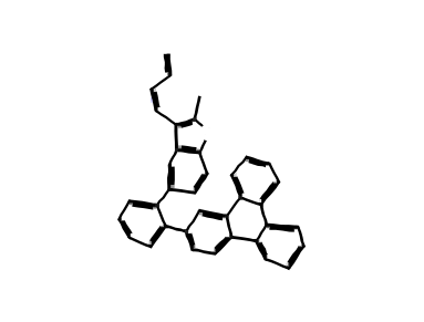 C=C/C=C\c1c(C)oc2ccc(-c3ccccc3-c3ccc4c5ccccc5c5ccccc5c4c3)cc12